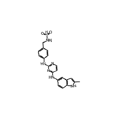 Cc1cc2cc(Nc3ccnc(Nc4ccc(CN[SH](=O)=O)cc4)n3)ccc2[nH]1